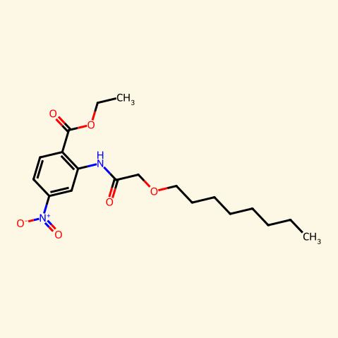 CCCCCCCCOCC(=O)Nc1cc([N+](=O)[O-])ccc1C(=O)OCC